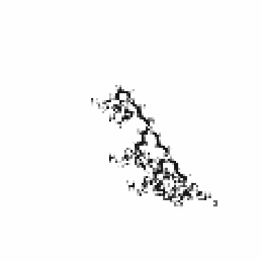 CO[Si](CCCN(CCCN(CCC[Si](OC)(OC)OC)CCC[Si](OC)(OC)OC)CCCN1CCC[Si]1(OC)OC)(OC)OC